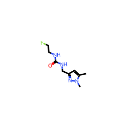 Cc1cc(CNC(=O)NCCF)nn1C